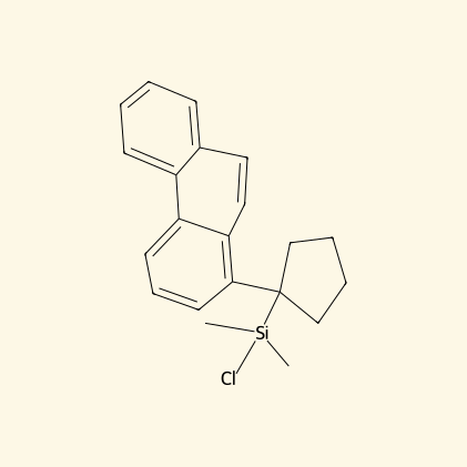 C[Si](C)(Cl)C1(c2cccc3c2ccc2ccccc23)CCCC1